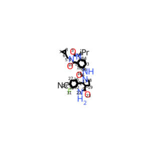 CC(C)n1c(=O)n(CC2CC2)c(=O)c2cc(NC(=O)N3CCC(C(N)=O)C3c3ccc(C#N)c(F)c3)ccc21